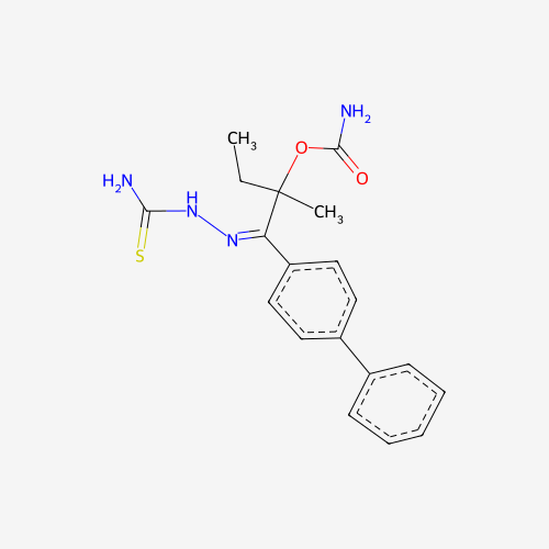 CCC(C)(OC(N)=O)C(=NNC(N)=S)c1ccc(-c2ccccc2)cc1